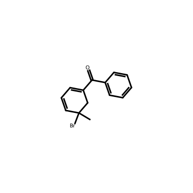 CC1(Br)C=CC=C(C(=O)c2ccccc2)C1